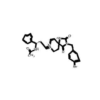 CC(=O)N[C@@H](CCN1CCC2(CC1)NC(=O)N(Cc1ccc(Br)cc1)C2=O)c1ccccc1